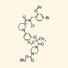 CC(C)Oc1cc(Br)ccc1CN(C(=O)[C@@H]1CCCN(c2cccc(OC(C)(C)C(=O)N3CCN(C(=O)OC(C)(C)C)CC3)c2)C1)C1CC1